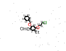 CCc1cc(C=O)c(OCc2ccccc2)cc1OCCCCl